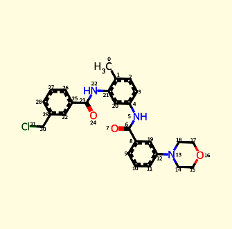 Cc1ccc(NC(=O)c2cccc(N3CCOCC3)c2)cc1NC(=O)c1cccc(CCl)c1